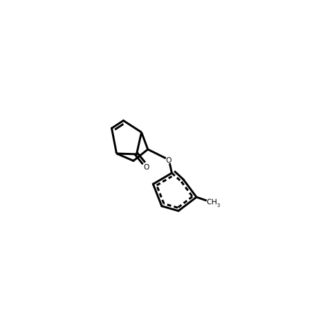 Cc1cccc(OC2CC3C=CC2C3=O)c1